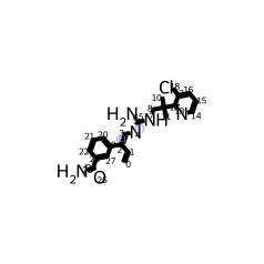 C=C/C(=C\N=C(/N)NCC(C)(C)c1ncccc1Cl)c1cccc(C(N)=O)c1